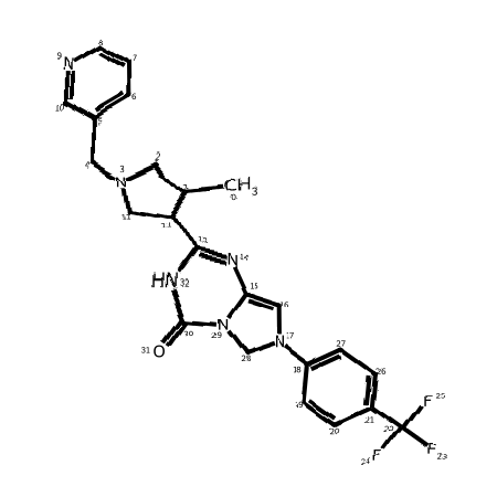 CC1CN(Cc2cccnc2)CC1C1=NC2=CN(c3ccc(C(F)(F)F)cc3)CN2C(=O)N1